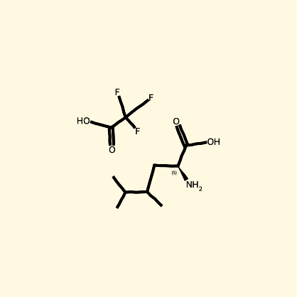 CC(C)C(C)C[C@H](N)C(=O)O.O=C(O)C(F)(F)F